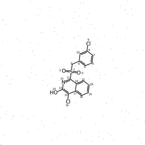 O=S(=O)(Cc1cccc(Cl)c1)c1nc(O)c(Cl)c2ccccc12